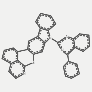 c1ccc(-c2nc(-n3c4ccccc4c4cc5c(cc43)Sc3nccc4cccc-5c34)nc3ccccc23)cc1